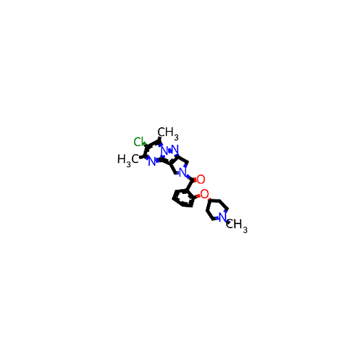 Cc1nc2c3c(nn2c(C)c1Cl)CN(C(=O)c1ccccc1OC1CCN(C)CC1)C3